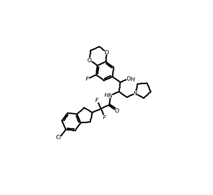 O=C(NC(CN1CCCC1)C(O)c1cc(F)c2c(c1)OCCO2)C(F)(F)C1Cc2ccc(Cl)cc2C1